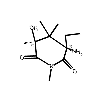 CC[C@]1(N)C(=O)N(C)C(=O)[C@@](C)(O)C1(C)C